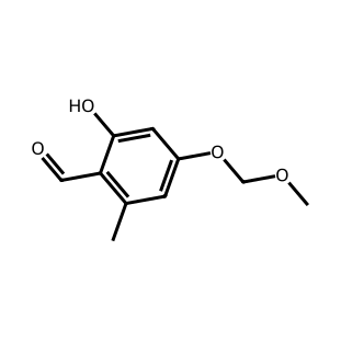 COCOc1cc(C)c(C=O)c(O)c1